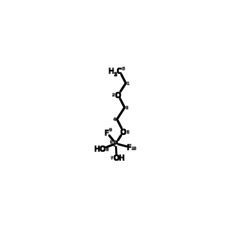 CCOCCOP(O)(O)(F)F